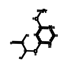 C=C(C)C(C)Oc1cc(OCCC)ncn1